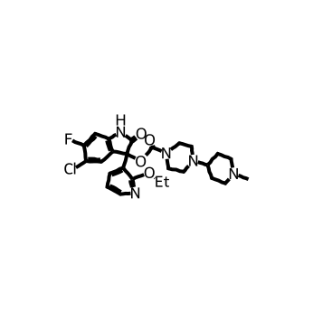 CCOc1ncccc1C1(OC(=O)N2CCN(C3CCN(C)CC3)CC2)C(=O)Nc2cc(F)c(Cl)cc21